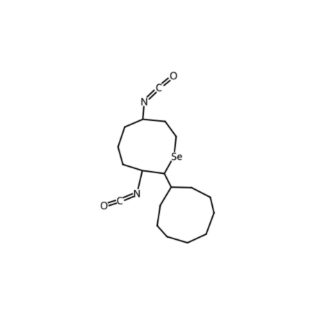 O=C=NC1CCCC(N=C=O)C(C2CCCCCCCC2)[Se]CC1